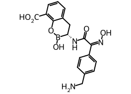 NCc1ccc(/C(=N/O)C(=O)N[C@H]2Cc3cccc(C(=O)O)c3OB2O)cc1